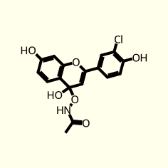 CC(=O)NOC1(O)C=C(c2ccc(O)c(Cl)c2)Oc2cc(O)ccc21